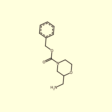 NCC1CN(C(=O)OCc2ccccc2)CCO1